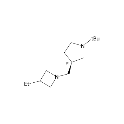 CCC1CN(C[C@H]2CCN(C(C)(C)C)C2)C1